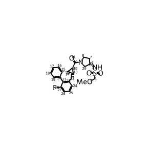 COCS(=O)(=O)N[C@H]1CCN(C(=O)[C@H]2C[C@@H]2c2ccccc2-c2c(F)cccc2F)C1